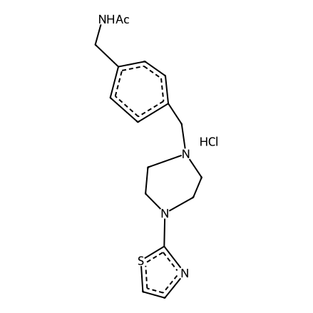 CC(=O)NCc1ccc(CN2CCN(c3nccs3)CC2)cc1.Cl